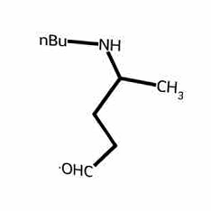 CCCCNC(C)CC[C]=O